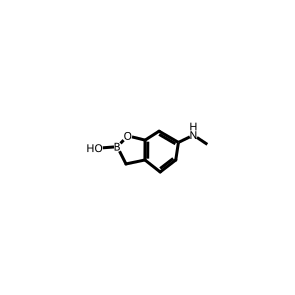 CNc1ccc2c(c1)OB(O)C2